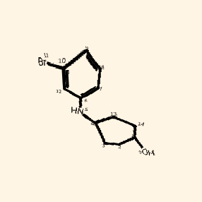 OC1CCC(Nc2cccc(Br)c2)CC1